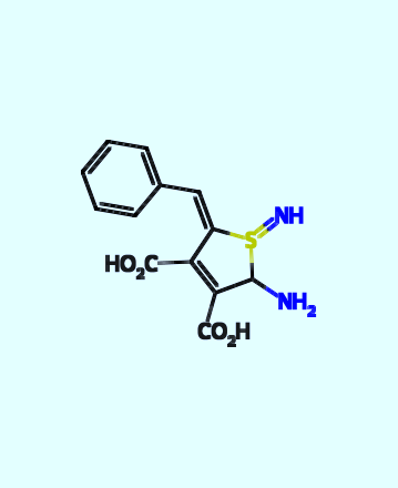 N=S1C(=Cc2ccccc2)C(C(=O)O)=C(C(=O)O)C1N